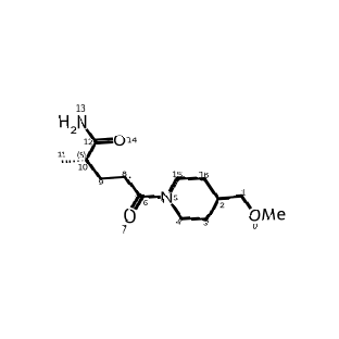 COCC1CCN(C(=O)[CH]C[C@H](C)C(N)=O)CC1